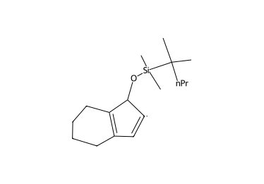 CCCC(C)(C)[Si](C)(C)OC1[C]=CC2=C1CCCC2